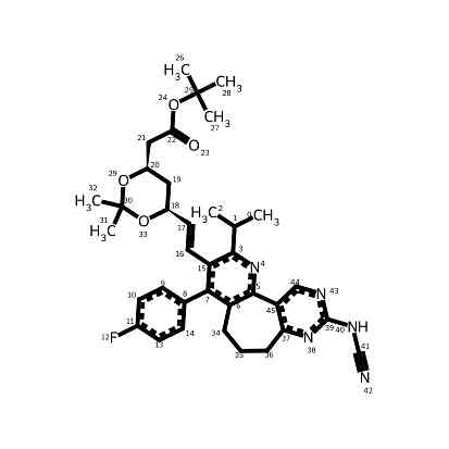 CC(C)c1nc2c(c(-c3ccc(F)cc3)c1/C=C/[C@@H]1C[C@H](CC(=O)OC(C)(C)C)OC(C)(C)O1)CCCc1nc(NC#N)ncc1-2